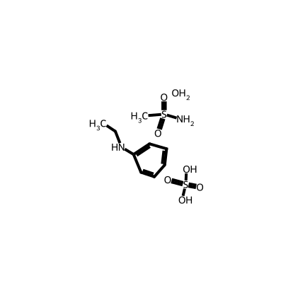 CCNc1ccccc1.CS(N)(=O)=O.O.O=S(=O)(O)O